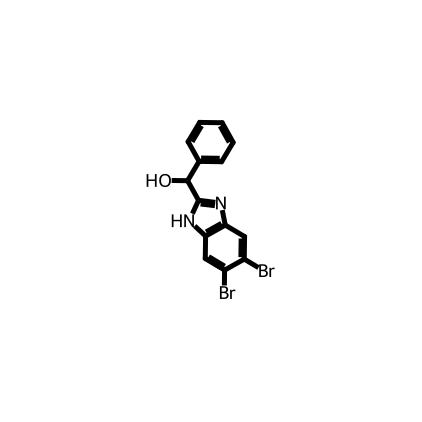 OC(c1ccccc1)c1nc2cc(Br)c(Br)cc2[nH]1